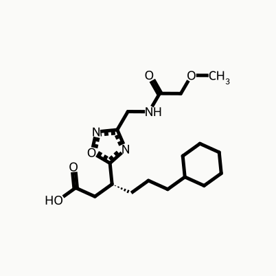 COCC(=O)NCc1noc([C@H](CCCC2CCCCC2)CC(=O)O)n1